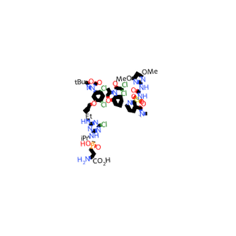 C#CCOc1cc(-n2nc(C(C)(C)C)oc2=O)c(Cl)cc1Cl.CC1COc2ccccc2N1C(=O)C(Cl)Cl.CCNc1nc(Cl)nc(NC(C)C)n1.COc1cc(OC)nc(NC(=O)NS(=O)(=O)c2ncccc2C(=O)N(C)C)n1.CP(=O)(O)CCC(N)C(=O)O